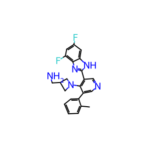 Cc1ccccc1-c1cncc(-c2nc3c(F)cc(F)cc3[nH]2)c1N1CC(CN)C1